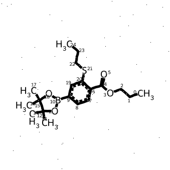 CCCOC(=O)c1ccc(B2OC(C)(C)C(C)(C)O2)cc1SCCC